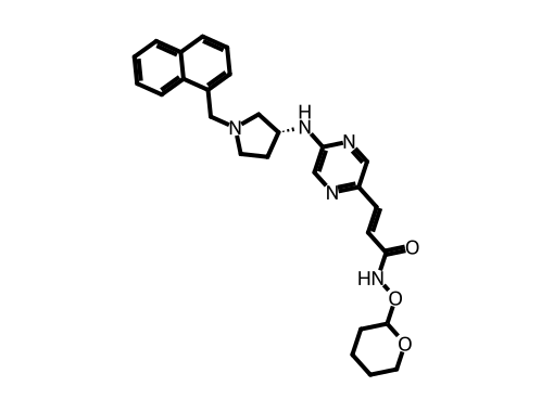 O=C(C=Cc1cnc(N[C@@H]2CCN(Cc3cccc4ccccc34)C2)cn1)NOC1CCCCO1